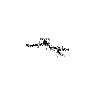 CC(C)CCC(NC(=O)C(C)(C)COC(C)(C)CCNC(=O)c1cc(OCCNC(=O)CCCCCN=[N+]=[N-])cc(C(N)O)c1)C(=O)CNCCO